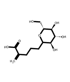 C=C(CCCC1O[C@H](CO)[C@@H](O)[C@H](O)[C@H]1O)C(=O)O